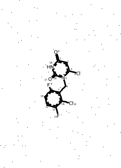 O=c1cc(Cl)n(Cc2c(F)ccc(F)c2Cl)c(=O)[nH]1